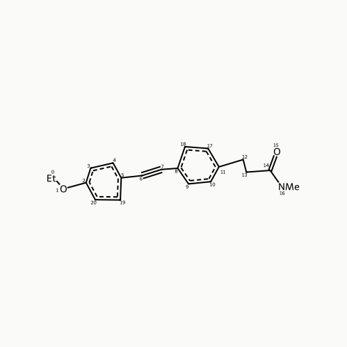 CCOc1ccc(C#Cc2ccc(CCC(=O)NC)cc2)cc1